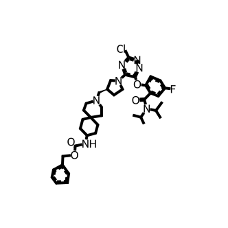 CC(C)N(C(=O)c1cc(F)ccc1Oc1nnc(Cl)nc1N1CC[C@@H](CN2CCC3(CCC(NC(=O)OCc4ccccc4)CC3)CC2)C1)C(C)C